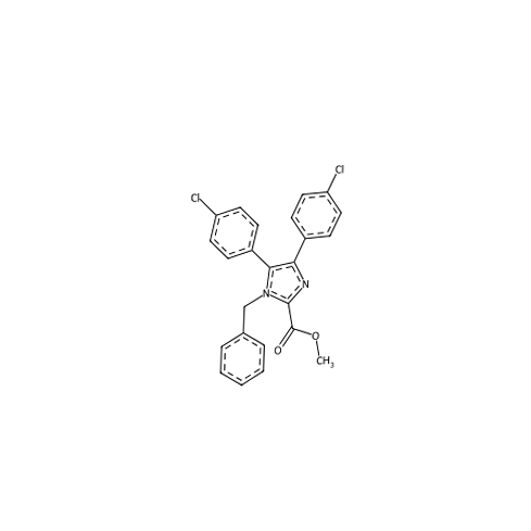 COC(=O)c1nc(-c2ccc(Cl)cc2)c(-c2ccc(Cl)cc2)n1Cc1ccccc1